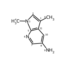 Cc1cn(C)c2ncc(N)cc12